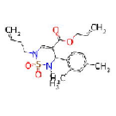 C=CCCN1C=C(C(=O)OCC=C)C(c2ccc(C)cc2C)N(C)S1(=O)=O